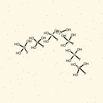 O=[N+]([O-])O.O[Si](O)(O)F.O[Si](O)(O)F.O[Si](O)(O)F.O[Si](O)(O)F.O[Si](O)(O)F.O[Si](O)(O)F